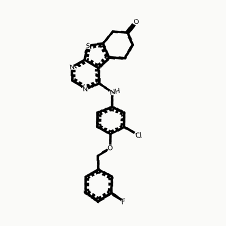 O=C1CCc2c(sc3ncnc(Nc4ccc(OCc5cccc(F)c5)c(Cl)c4)c23)C1